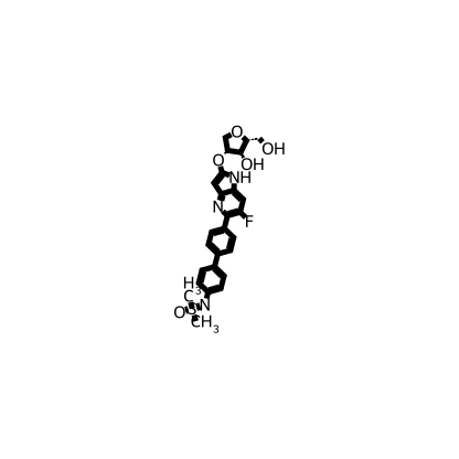 CS(C)(=O)=Nc1ccc(-c2ccc(-c3nc4cc(O[C@@H]5CO[C@H](CO)[C@H]5O)[nH]c4cc3F)cc2)cc1